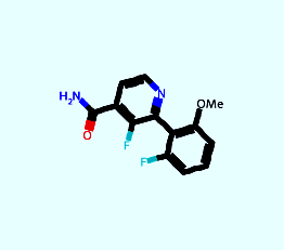 COc1cccc(F)c1-c1nccc(C(N)=O)c1F